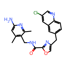 Cc1cc(N)nc(C)c1CNC(=O)c1nc(Cc2ccc3ncc(Cl)cc3c2)co1